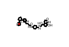 O=C(CCCc1cccc(C2(C(=O)O)CCCCC2C2CN3CCC2CC3)c1)NC1CCC(CNC[C@H](O)c2ccc(O)c3[nH]c(=O)ccc23)CC1